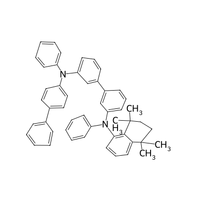 CC1(C)CCC(C)(C)c2c(N(c3ccccc3)c3cccc(-c4cccc(N(c5ccccc5)c5ccc(-c6ccccc6)cc5)c4)c3)cccc21